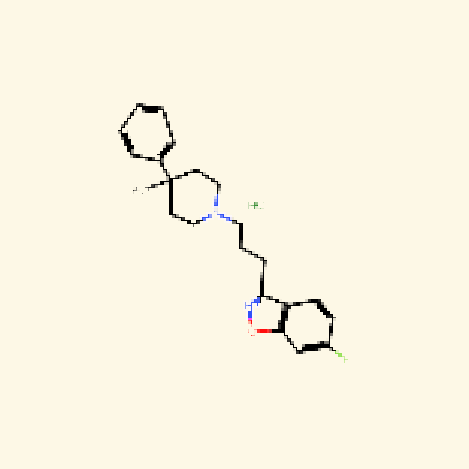 CC(=O)C1(c2ccccc2)CCN(CCCc2noc3cc(F)ccc23)CC1.Cl